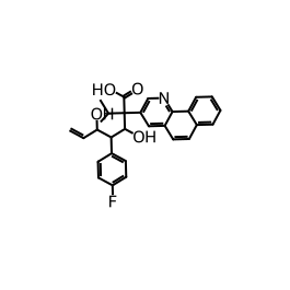 C=CC(O)C(c1ccc(F)cc1)C(O)C(C(=O)O)(c1cnc2c(ccc3ccccc32)c1)C(C)C